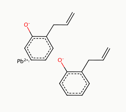 C=CCc1ccccc1[O-].C=CCc1ccccc1[O-].[Pb+2]